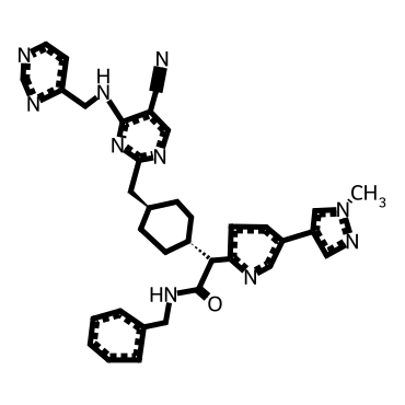 Cn1cc(-c2ccc(C(C(=O)NCc3ccccc3)[C@H]3CC[C@H](Cc4ncc(C#N)c(NCc5ccncn5)n4)CC3)nc2)cn1